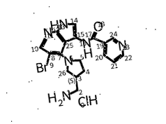 Cl.NC[C@@H]1CCN(c2c(Br)cnc3[nH]cc(NC(=O)c4cccnc4)c23)C1